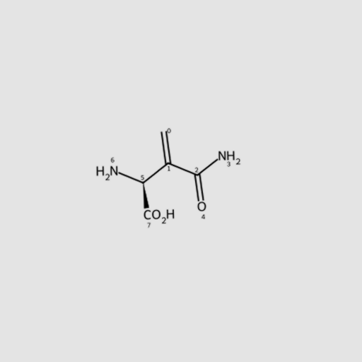 C=C(C(N)=O)[C@H](N)C(=O)O